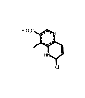 CCOC(=O)c1cnc2c(c1C)NC(Cl)C=C2